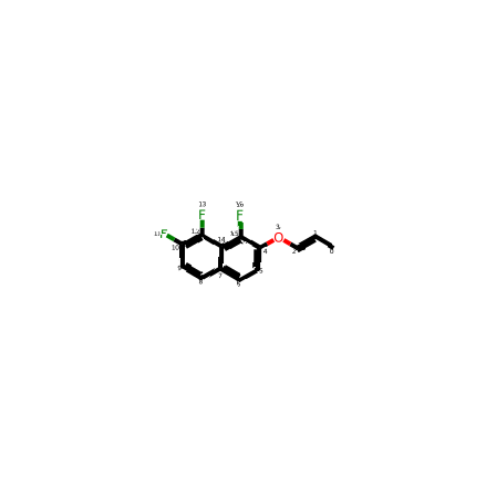 C/C=C/Oc1ccc2ccc(F)c(F)c2c1F